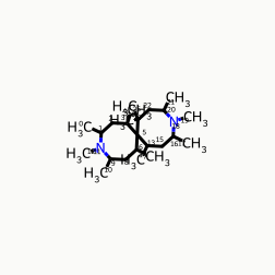 CC1CC(C)C2(C(C)CC(C)N1C)C(C)CC(C)N(C)C(C)CC2(C)C